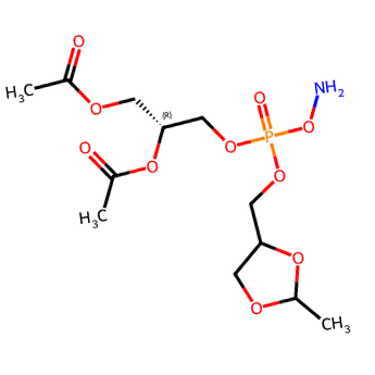 CC(=O)OC[C@H](COP(=O)(ON)OCC1COC(C)O1)OC(C)=O